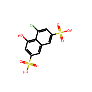 O=S(=O)(O)c1cc(O)c2c(Cl)cc(S(=O)(=O)O)cc2c1